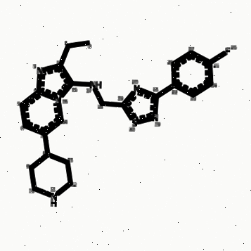 CCc1nc2ccc(C3CCNCC3)cn2c1NCc1nc(-c2ccc(F)cc2)ns1